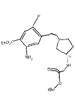 CCOC(=O)c1cc(F)c(CN2CC[C@H](NC(=O)OC(C)(C)C)C2)cc1N